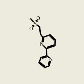 [CH2]S(=O)(=O)CCc1cccc(-c2ccccn2)n1